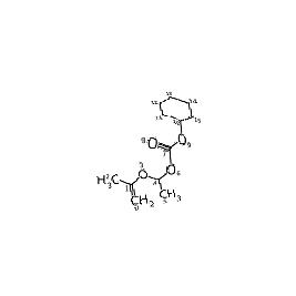 C=C(C)OC(C)OC(=O)OC1CCCCC1